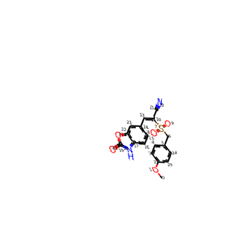 COc1ccc(CS(=O)(=O)C(C#N)=Cc2ccc3[nH]c(=O)oc3c2)cc1